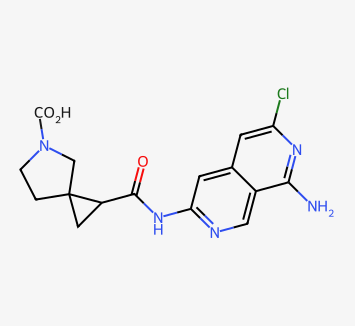 Nc1nc(Cl)cc2cc(NC(=O)C3CC34CCN(C(=O)O)C4)ncc12